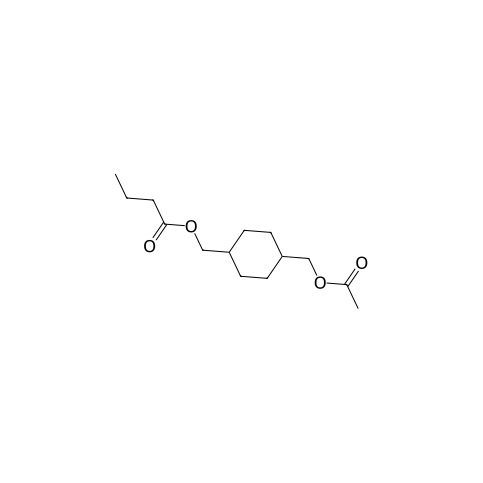 CCCC(=O)OCC1CCC(COC(C)=O)CC1